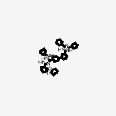 N=C(/N=C(\NNC1C=CC=CC1)C1=CC=C(c2cccc(C3NC(c4ccccc4)=NC(C4=CCCC=C4)N3)c2)CC1)c1cccc2c1OC1=C(C=CCC1)O2